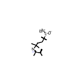 C=C(C)/C(C)=N\C(C)(C)CCC(C)(C)[S+]([O-])C(C)(C)C